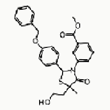 COC(=O)c1cccc(N2C(=O)C(C)(CCO)SC2c2ccc(OCc3ccccc3)cc2)c1